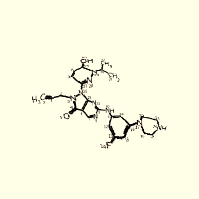 C=CCn1c(=O)c2cnc(Nc3cc(F)cc(N4CCNCC4)c3)nc2n1C1=NN(C(C)C)C(O)C=C1